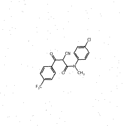 CN(C(=O)C(C#N)C(=O)c1ccc(C(F)(F)F)cc1)c1ccc(Cl)cc1